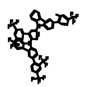 Cc1cc(C(F)(F)F)ccc1-c1ccc2c(c1)c1ccccc1n2-c1cc(-c2cc(C(F)(F)F)cc(C(F)(F)F)c2)c(-n2c3ccccc3c3cc(-c4ccc(C(F)(F)F)cc4C(F)(F)F)ccc32)cn1